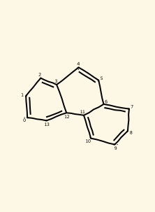 [c]1ccc2[c]cc3cc[c]cc3c2c1